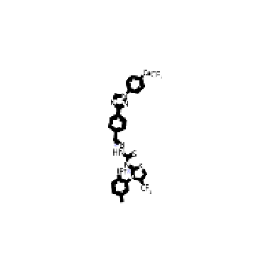 Cc1ccc(C(C)C)c(N2/C(=N/C(=S)N/N=C/c3ccc(-c4ncn(-c5ccc(OC(F)(F)F)cc5)n4)cc3)SCC2C(F)(F)F)c1